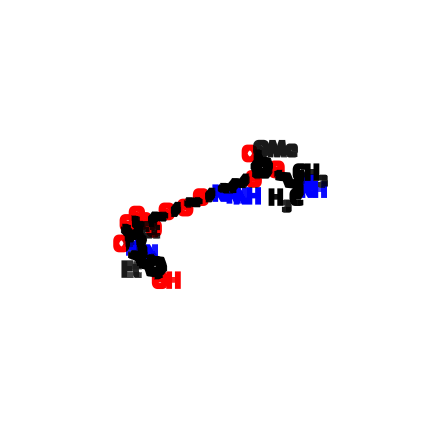 CCc1c2c(nc3ccc(O)cc13)-c1cc3c(c(=O)n1C2)COC(=O)C3(CC)OC(=O)CCOCCOCCOCCN/C=C(/CCCOc1cc(OCCCc2c(C)n[nH]c2C)cc(C(=O)OC)c1)N=N